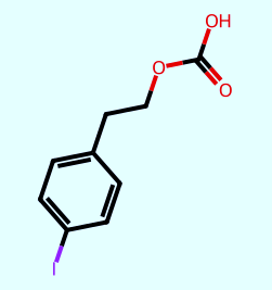 O=C(O)OCCc1ccc(I)cc1